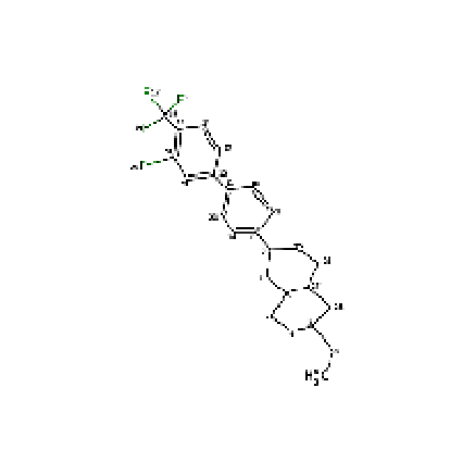 CCC1CCC2CC(c3ccc(-c4ccc(C(F)(F)F)c(F)c4)cc3)CCC2C1